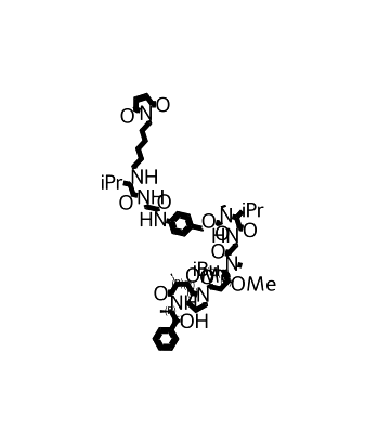 CC[C@H](C)[C@@H]([C@@H](CC(=O)N1CCC[C@H]1[C@H](OC)[C@@H](C)C(=O)N[C@H](C)[C@@H](O)c1ccccc1)OC)N(C)C(=O)CNC(=O)C(C(C)C)N(C)C(=O)OCc1ccc(NC(=O)CNC(=O)C(NCCCCCCN2C(=O)C=CC2=O)C(C)C)cc1